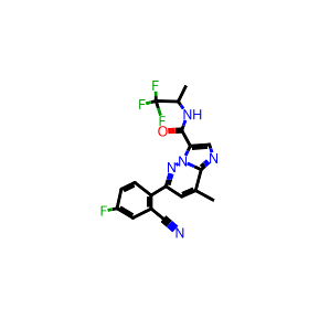 Cc1cc(-c2ccc(F)cc2C#N)nn2c(C(=O)NC(C)C(F)(F)F)cnc12